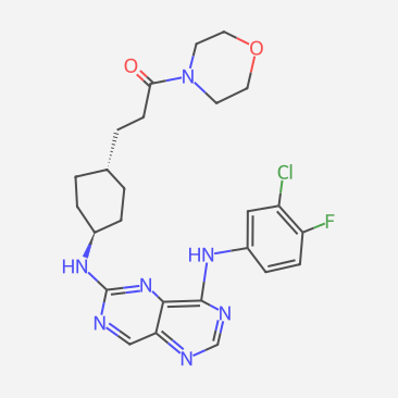 O=C(CC[C@H]1CC[C@H](Nc2ncc3ncnc(Nc4ccc(F)c(Cl)c4)c3n2)CC1)N1CCOCC1